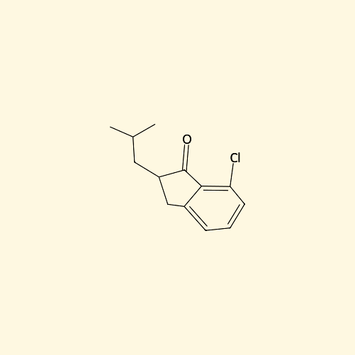 CC(C)CC1Cc2cccc(Cl)c2C1=O